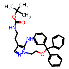 CC(C)(C)OC(=O)NCCc1cnn(CCOC(c2ccccc2)(c2ccccc2)c2ccccc2)c1N